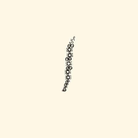 CCCCCC(=O)Oc1ccc(-c2ccc(OC(=O)[C@H]3CC[C@H](C(=O)Oc4ccc(-c5ccc(COCOCCOC)cc5)cc4)CC3)cc2)cc1